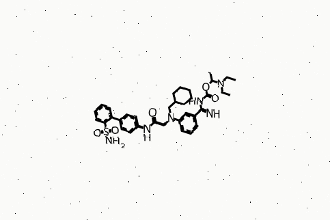 CCN(CC)C(C)OC(=O)NC(=N)c1cccc(N(CC(=O)Nc2ccc(-c3ccccc3S(N)(=O)=O)cc2)CC2CCCCC2)c1